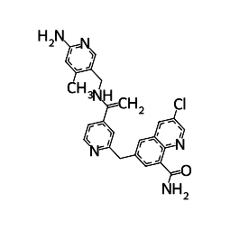 C=C(NCc1cnc(N)cc1C)c1ccnc(Cc2cc(C(N)=O)c3ncc(Cl)cc3c2)c1